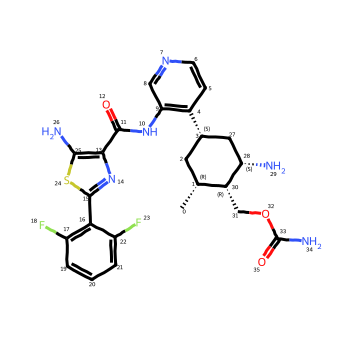 C[C@@H]1C[C@H](c2ccncc2NC(=O)c2nc(-c3c(F)cccc3F)sc2N)C[C@H](N)[C@@H]1COC(N)=O